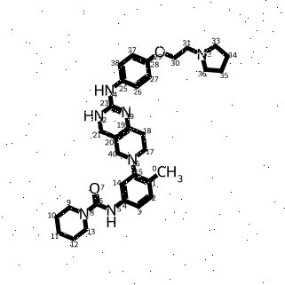 Cc1ccc(NC(=O)N2CCCCC2)cc1N1CCC2=C(CNC(Nc3ccc(OCCN4CCCC4)cc3)=N2)C1